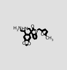 Cc1ccc(CN2C(=O)C3(CNC(CN)c4cc5c(cc43)OCO5)c3ccccc32)o1